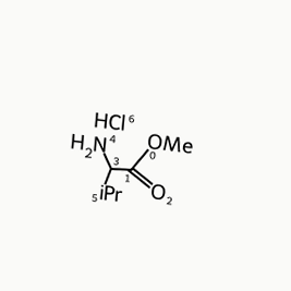 COC(=O)C(N)C(C)C.Cl